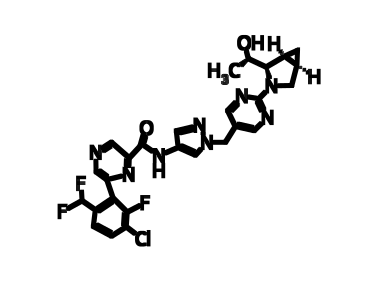 C[C@@H](O)[C@H]1[C@H]2C[C@H]2CN1c1ncc(Cn2cc(NC(=O)c3cncc(-c4c(C(F)F)ccc(Cl)c4F)n3)cn2)cn1